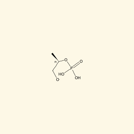 C[C@H](C[O])OP(=O)(O)O